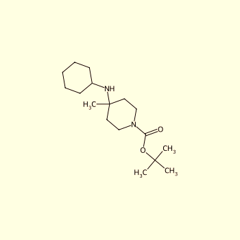 CC1(NC2CCCCC2)CCN(C(=O)OC(C)(C)C)CC1